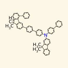 CC1(C)c2ccccc2-c2ccc(N(c3ccc(-c4ccccc4)cc3)c3ccc(-c4ccc(-c5ccc6c(c5)-c5c(-c7ccccc7)cccc5C6(C)C)cc4)cc3)cc21